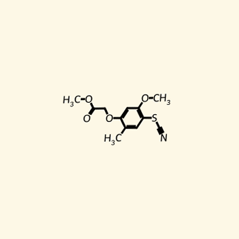 COC(=O)COc1cc(OC)c(SC#N)cc1C